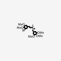 COc1cc(/C=C/C(=S)N(C)Cc2cc(OC)c(OC)c(OC)c2)cc(Br)c1OC